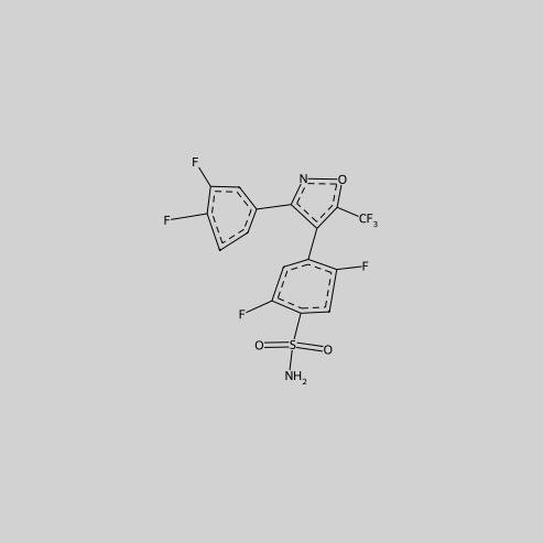 NS(=O)(=O)c1cc(F)c(-c2c(-c3ccc(F)c(F)c3)noc2C(F)(F)F)cc1F